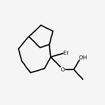 CCC1(OC(C)O)CCCCC2CCC1C2